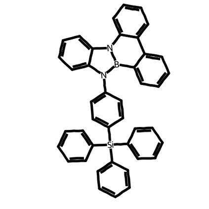 c1ccc([Si](c2ccccc2)(c2ccccc2)c2ccc(N3B4c5ccccc5-c5ccccc5N4c4ccccc43)cc2)cc1